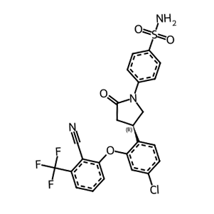 N#Cc1c(Oc2cc(Cl)ccc2[C@H]2CC(=O)N(c3ccc(S(N)(=O)=O)cc3)C2)cccc1C(F)(F)F